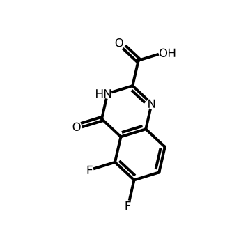 O=C(O)c1nc2ccc(F)c(F)c2c(=O)[nH]1